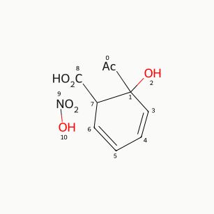 CC(=O)C1(O)C=CC=CC1C(=O)O.O=[N+]([O-])O